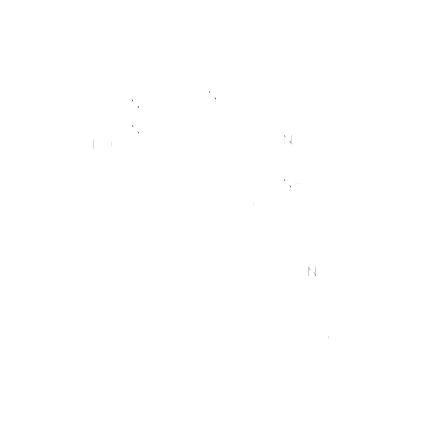 Cn1cc(-c2cc3cc(NC(=O)C4CCN(CCO)CC4)ncc3cn2)cn1